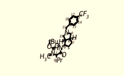 CC(C)C(C(=O)N[C@@H]1CC[C@H]2CN(Cc3ccc(C(F)(F)F)cc3)C[C@H]21)N(C)C(=O)OC(C)(C)C